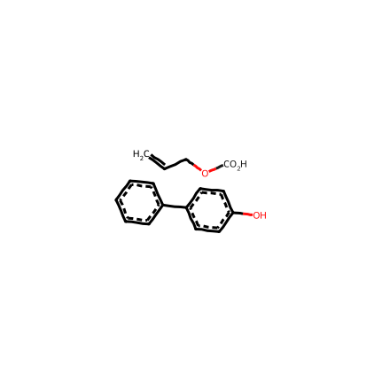 C=CCOC(=O)O.Oc1ccc(-c2ccccc2)cc1